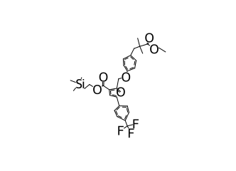 CCOC(=O)C(C)(C)Cc1ccc(OCc2oc(-c3ccc(C(F)(F)F)cc3)cc2C(=O)OCC[Si](C)(C)C)cc1